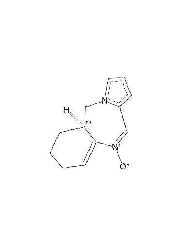 [O-][N+]1=Cc2cccn2C[C@@H]2CCCC=C21